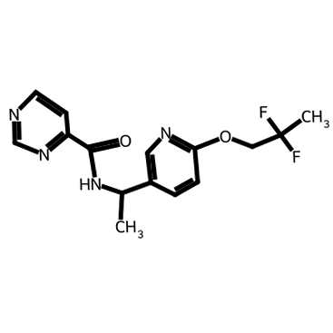 CC(NC(=O)c1ccncn1)c1ccc(OCC(C)(F)F)nc1